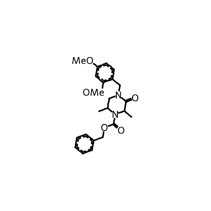 COc1ccc(CN2CC(C)N(C(=O)OCc3ccccc3)C(C)C2=O)c(OC)c1